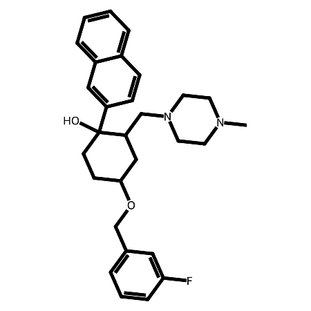 CN1CCN(CC2CC(OCc3cccc(F)c3)CCC2(O)c2ccc3ccccc3c2)CC1